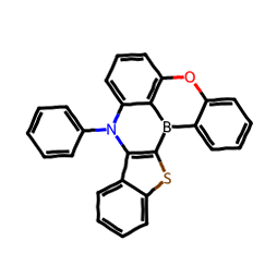 c1ccc(N2c3cccc4c3B(c3ccccc3O4)c3sc4ccccc4c32)cc1